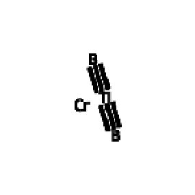 [B]#[Ti]#[B].[Cr]